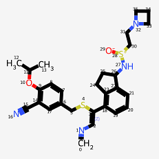 C=N/C=C(\SCc1ccc(OC(C)C)c(C#N)c1)c1cccc2c1CCC2N[S+]([O-])CCN1CCC1